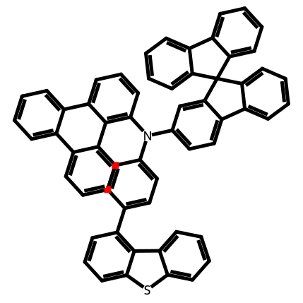 c1ccc2c(c1)-c1ccccc1C21c2ccccc2-c2ccc(N(c3ccc(-c4cccc5sc6ccccc6c45)cc3)c3cccc4c5ccccc5c5ccccc5c34)cc21